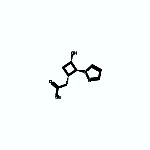 CC(C)(C)C(=O)C[C@@H]1C[C@H](O)[C@H]1n1cccn1